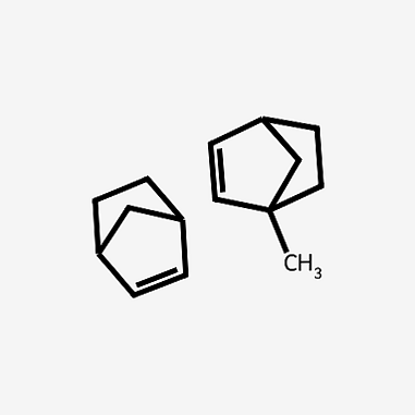 C1=CC2CCC1C2.CC12C=CC(CC1)C2